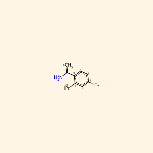 C=C(N)c1ccc(F)cc1C(C)C